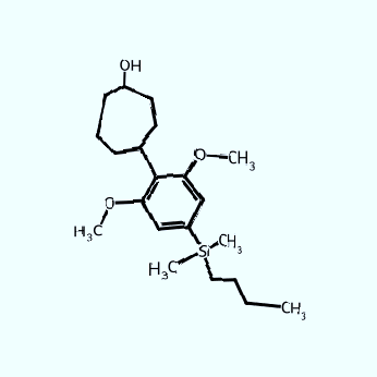 CCCC[Si](C)(C)c1cc(OC)c(C2CCCC(O)CC2)c(OC)c1